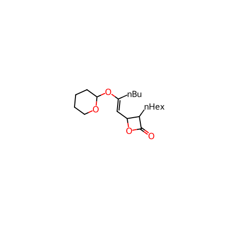 CCCCCCC1C(=O)OC1C=C(CCCC)OC1CCCCO1